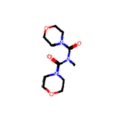 CN(C(=O)N1CCOCC1)C(=O)N1CCOCC1